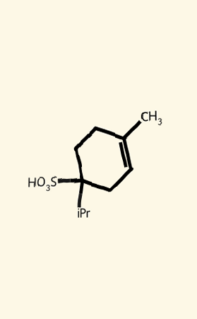 CC1=CCC(C(C)C)(S(=O)(=O)O)CC1